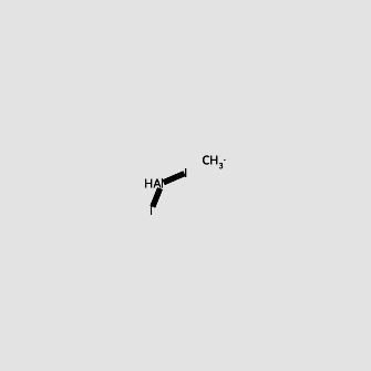 [CH3].[I][AlH][I]